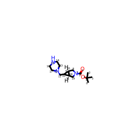 CC(C)(C)OC(=O)N1C[C@@H]2C(CN3CCNCC3)[C@@H]2C1